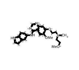 COCCN(C)CCOc1cc2ncnc(Nc3ccc4[nH]ccc4c3)c2cc1OC